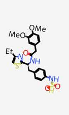 CCc1csc([C@H](Cc2ccc(N[SH](=O)=O)cc2)NC(=O)Cc2ccc(OC)c(OC)c2)n1